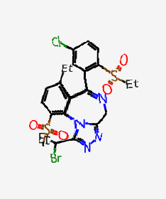 CCc1ccc(S(C)(=O)=O)c2c1C(c1cc(Cl)ccc1S(=O)(=O)CC)=NCc1nnc(C(Br)CC)n1-2